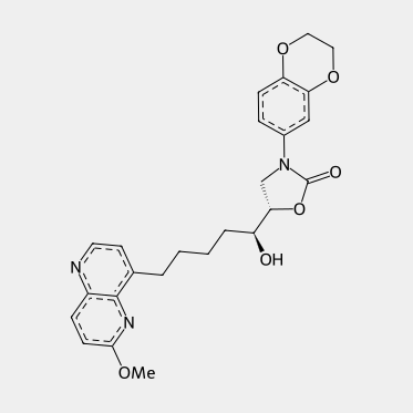 COc1ccc2nccc(CCCC[C@H](O)[C@@H]3CN(c4ccc5c(c4)OCCO5)C(=O)O3)c2n1